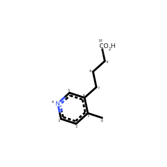 Cc1ccncc1CCCC(=O)O